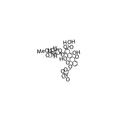 CO[C@H]1OCCN2[C@@H]1O[C@@H]1[C@H](C)O[C@@H](O[C@H]3C[C@](O)(C(=O)CO)Cc4c(O)c5c(c(O)c43)C(=O)c3c(OCC(=O)CN4C(=O)C=CC4=O)cccc3C5=O)C[C@@H]12